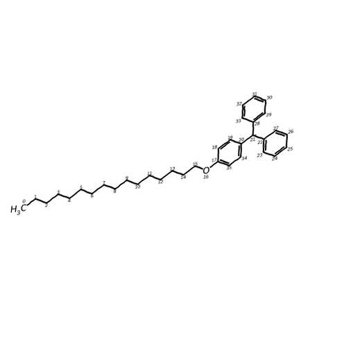 CCCCCCCCCCCCCCCCOc1ccc([C](c2ccccc2)c2ccccc2)cc1